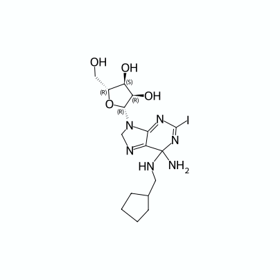 NC1(NCC2CCCC2)N=C(I)N=C2C1=NCN2[C@@H]1O[C@H](CO)[C@@H](O)[C@H]1O